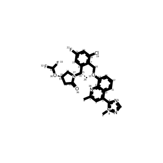 Cc1cc(-c2ncnn2C)c2cccc(OCc3c(Cl)cc(F)cc3[C@H](C)N3C[C@@H](OC(F)F)CC3=O)c2n1